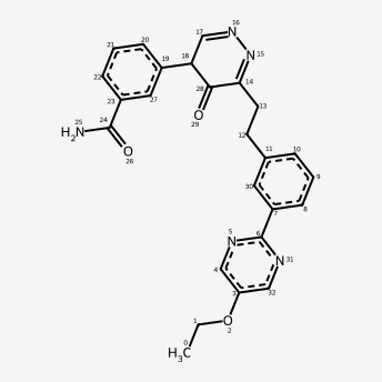 CCOc1cnc(-c2cccc(CCC3=NN=CC(c4cccc(C(N)=O)c4)C3=O)c2)nc1